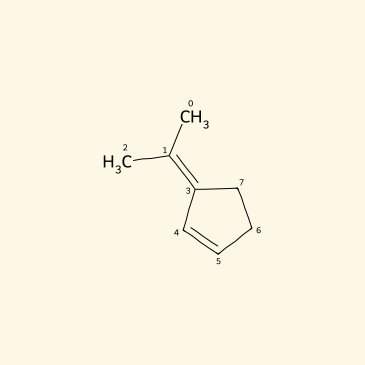 CC(C)=C1C=CCC1